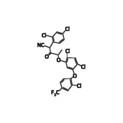 CC(Oc1cc(Oc2ccc(C(F)(F)F)cc2Cl)c(Cl)cc1Cl)C(=O)C(C#N)c1ccc(Cl)cc1Cl